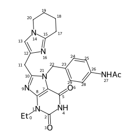 CCn1c(=O)[nH]c(=O)c2c1nc(Cc1cn3c(n1)CCCC3)n2Cc1ccc(NC(C)=O)cc1